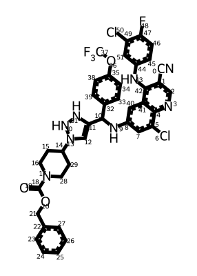 N#Cc1cnc2c(Cl)cc(NC(C3=CN(C4CCN(C(=O)OCc5ccccc5)CC4)NN3)c3ccc(OC(F)(F)F)cc3)cc2c1Nc1ccc(F)c(Cl)c1